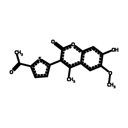 COc1cc2c(C)c(-c3ccc(C(C)=O)s3)c(=O)oc2cc1O